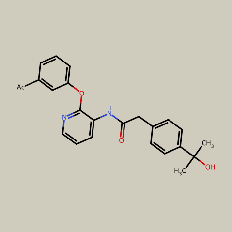 CC(=O)c1cccc(Oc2ncccc2NC(=O)Cc2ccc(C(C)(C)O)cc2)c1